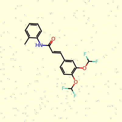 Cc1ccccc1NC(=O)/C=C/c1ccc(OC(F)F)c(OC(F)F)c1